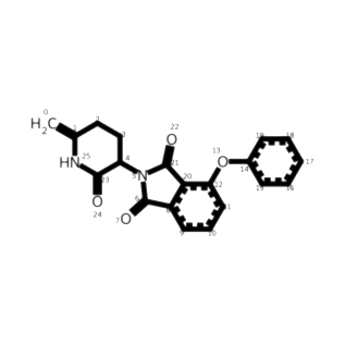 C=C1CCC(N2C(=O)c3cccc(Oc4ccccc4)c3C2=O)C(=O)N1